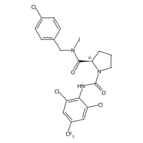 O=C([C@H]1CCCN1C(=O)Nc1c(Cl)cc(C(F)(F)F)cc1Cl)N(I)Cc1ccc(Cl)cc1